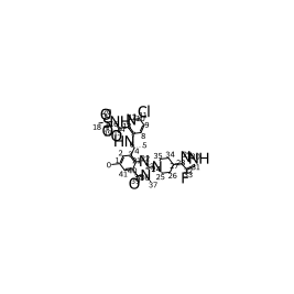 Cc1cc([C@@H](C)Nc2ccc(Cl)nc2C(=O)NS(C)(=O)=O)c2nc(N3CCC(c4n[nH]cc4F)CC3)n(C)c(=O)c2c1